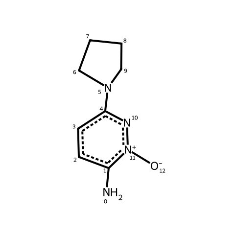 Nc1ccc(N2CCCC2)n[n+]1[O-]